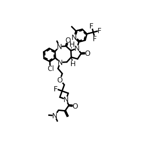 C=C(CN(C)C)C(=O)N1CC(F)(COCCN2C[C@H]3CC(=O)N(c4cc(C(F)(F)F)cc(C)n4)[C@@H]3C(=O)N(C)c3cccc(Cl)c32)C1